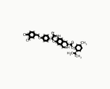 CC(C)[C@@H]1CC[C@@H](C)C[C@H]1OC(=O)[C@@H]1Cc2cc3c(cc2CN1)O[C@H](c1ccc(OCc2ccc(Cl)c(Cl)c2)cc1)C(=O)N3